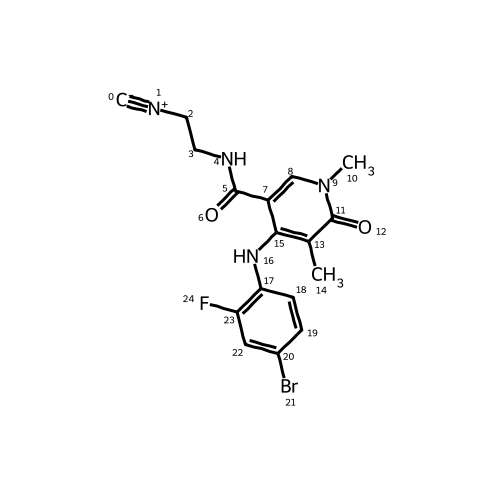 [C-]#[N+]CCNC(=O)c1cn(C)c(=O)c(C)c1Nc1ccc(Br)cc1F